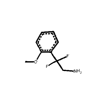 COc1ccccc1C(F)(F)CN